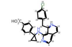 O=C(O)c1ccc(C2(Nc3nccc4ccnc(Cc5ccc(Cl)cc5)c34)CC2)cc1